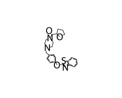 O=C(C1CCCO1)N1CCN(Cc2ccc(Oc3nc4ccccc4s3)cc2)CC1